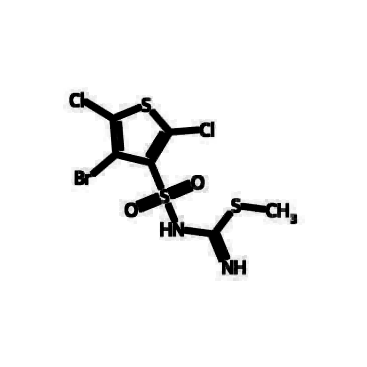 CSC(=N)NS(=O)(=O)c1c(Cl)sc(Cl)c1Br